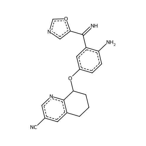 N#Cc1cnc2c(c1)CCCC2Oc1ccc(N)c(C(=N)c2cnco2)c1